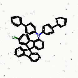 Clc1ccc2c(c1)C1(c3ccccc3-c3ccccc31)c1cccc(N(c3ccc(C4=CC=CCC4)cc3)c3ccc(-c4ccccc4)cc3)c1-2